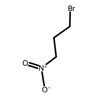 O=[N+]([O-])CCCBr